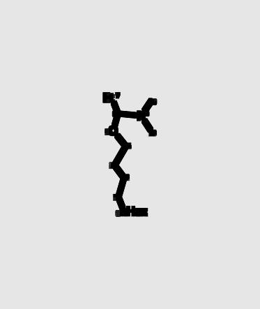 CCCCCCCCCCOC(CC)N(C)C